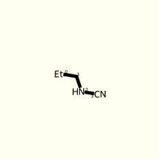 [CH2]CCNC#N